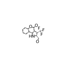 O=Cc1[nH]c2c(c1C(F)(F)F)c(=O)oc1ccccc12